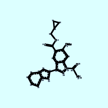 COc1cc2c(cc1C(=O)OCC1CC1)c(-c1cc3ccccc3s1)nn2C(N)=O